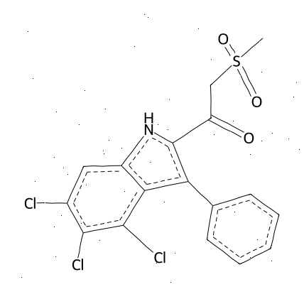 CS(=O)(=O)CC(=O)c1[nH]c2cc(Cl)c(Cl)c(Cl)c2c1-c1ccccc1